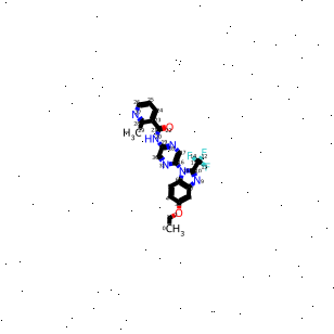 CCOc1ccc2c(c1)nc(C(F)(F)F)n2-c1cnc(NC(=O)c2cccnc2C)cn1